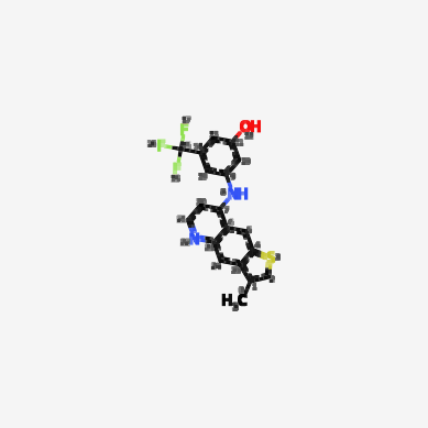 Cc1csc2cc3c(Nc4cc(O)cc(C(F)(F)F)c4)ccnc3cc12